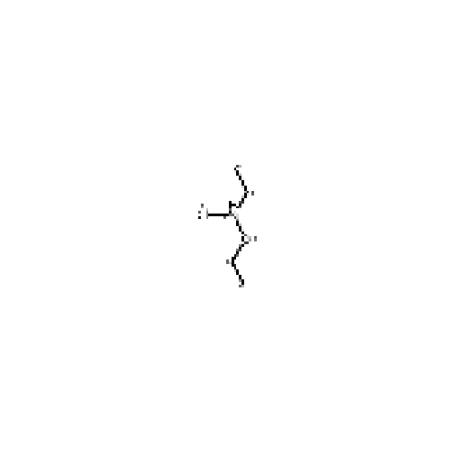 CCO[SiH](Cl)CC